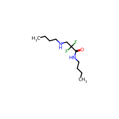 CCCCNCC(F)(F)C(=O)NCCCC